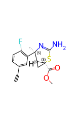 C#Cc1ccc(F)c([C@@]2(C)N=C(N)S[C@@]3(C(=O)OC)C[C@H]32)c1